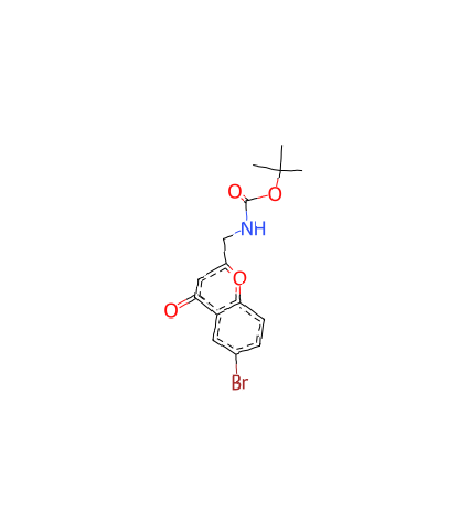 CC(C)(C)OC(=O)NCc1cc(=O)c2cc(Br)ccc2o1